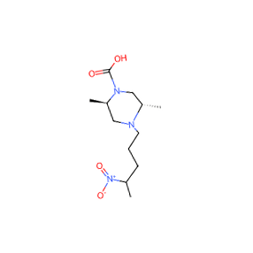 CC(CCCN1C[C@@H](C)N(C(=O)O)C[C@@H]1C)[N+](=O)[O-]